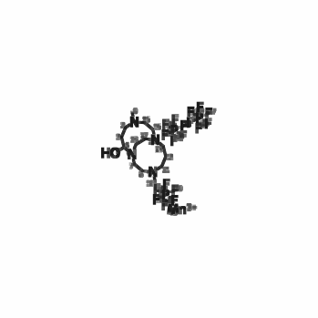 CN1CCC(O)N2CCN(C)CCCN(CC1)CC2.F[P-](F)(F)(F)(F)F.F[P-](F)(F)(F)(F)F.F[P-](F)(F)(F)(F)F.[Mn+3]